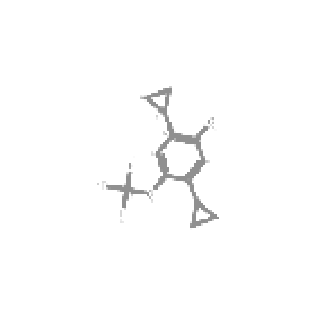 Oc1cc(C2CC2)c(OC(F)(F)F)cc1C1CC1